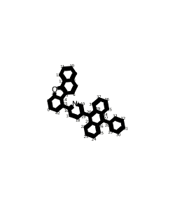 C1=CC2Oc3c(ccc4ccccc34)C2C(c2ccc(-c3c4ccccc4c(-c4ccccc4)c4ccccc34)cn2)=C1